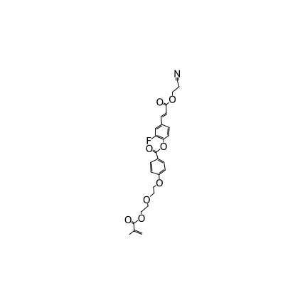 C=C(C)C(=O)OCCOCCOc1ccc(C(=O)Oc2ccc(/C=C/C(=O)OCCC#N)cc2F)cc1